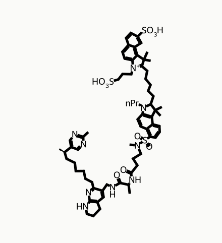 CCCN1c2ccc3c(S(=O)(=O)N(C)CCCC(=O)NC(C)C(=O)NCc4cc5c(nc4CCCCCC[C@@H](C)c4cnc(C)nc4)NCCC5)cccc3c2C(C)(C)C1CCCCCC1=[N+](CCCS(=O)(=O)O)c2ccc3ccc(S(=O)(=O)O)cc3c2C1(C)C